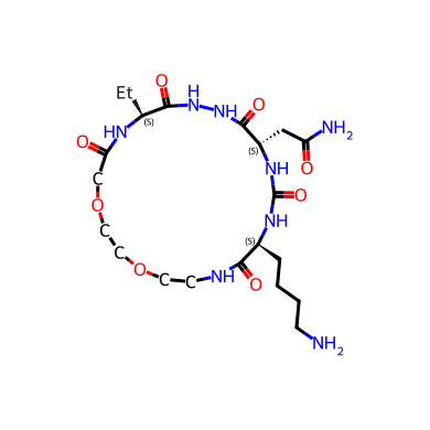 CC[C@@H]1NC(=O)COCCOCCNC(=O)[C@H](CCCCN)NC(=O)N[C@@H](CC(N)=O)C(=O)NNC1=O